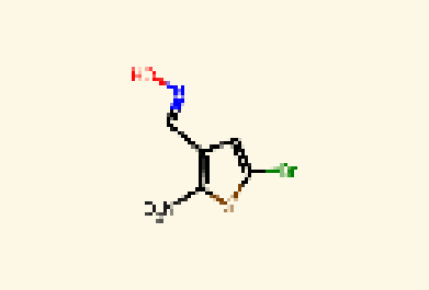 O=[N+]([O-])c1sc(Br)cc1C=NO